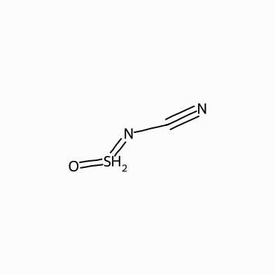 N#CN=[SH2]=O